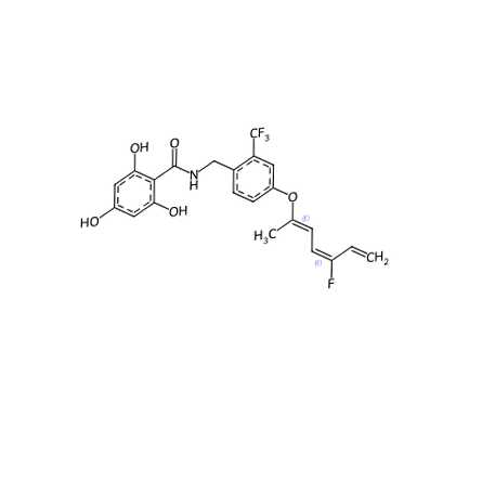 C=C/C(F)=C\C=C(/C)Oc1ccc(CNC(=O)c2c(O)cc(O)cc2O)c(C(F)(F)F)c1